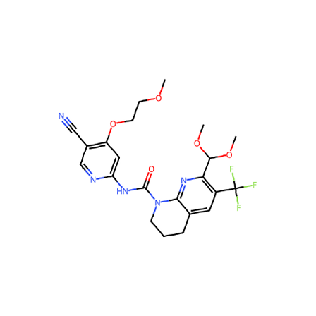 COCCOc1cc(NC(=O)N2CCCc3cc(C(F)(F)F)c(C(OC)OC)nc32)ncc1C#N